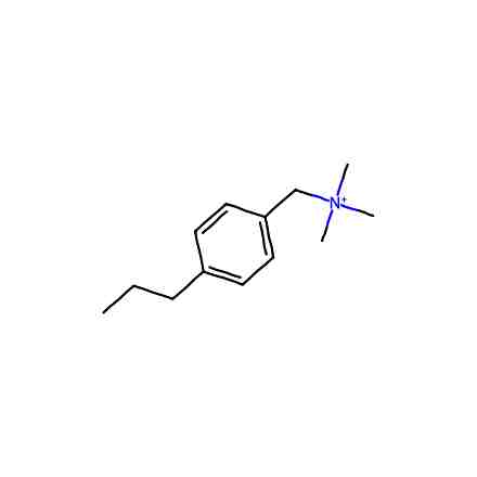 CCCc1ccc(C[N+](C)(C)C)cc1